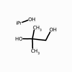 CC(C)(O)CO.CC(C)O